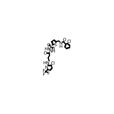 O=C(CCCNc1nc(C(F)(F)F)ccc1Cl)NNS(=O)(=O)c1ccc(CNC(=O)c2ccccc2Cl)s1